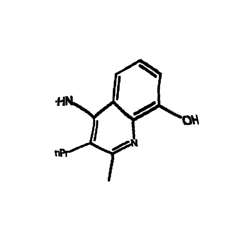 CCCc1c(C)nc2c(O)cccc2c1[NH]